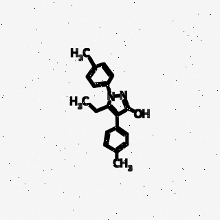 CCc1c(-c2ccc(C)cc2)c(O)nn1-c1ccc(C)cc1